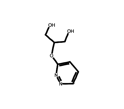 OCC(CO)Oc1cc[c]nn1